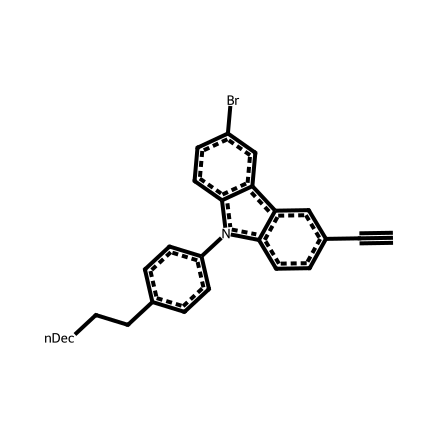 C#Cc1ccc2c(c1)c1cc(Br)ccc1n2-c1ccc(CCCCCCCCCCCC)cc1